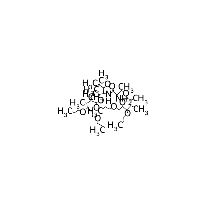 CCCOCC1OC(OC(C)C(N)C(=O)NC(C(=O)C(C)(C)C)C(C)OC2OC(COCCC)[C@H](OCCC)[C@H](C)[C@@H]2C)[C@@H](C)[C@@H](C)[C@H]1OCCC